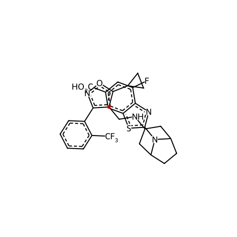 O=C(O)c1cc(F)c2nc(N3C4CCC3CC(NCc3c(-c5ccccc5C(F)(F)F)noc3C3CC3)C4)sc2c1